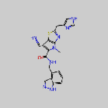 Cn1c(C(=O)NCc2cccc3[nH]ncc23)c(C=N)c2sc(Cc3c[nH]cn3)nc21